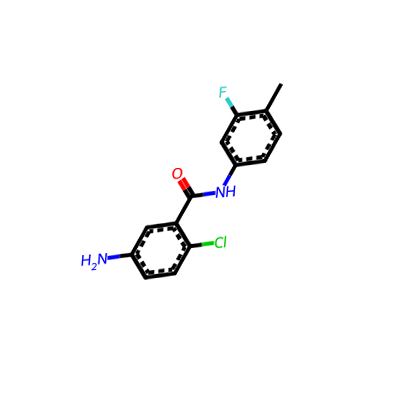 Cc1ccc(NC(=O)c2cc(N)ccc2Cl)cc1F